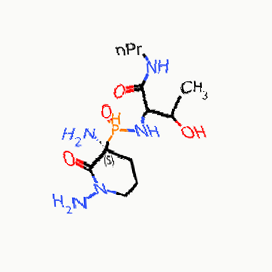 CCCNC(=O)C(N[PH](=O)[C@@]1(N)CCCN(N)C1=O)C(C)O